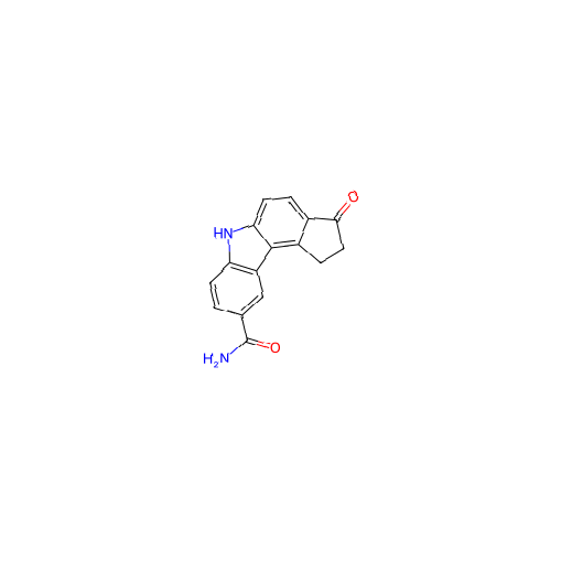 NC(=O)c1ccc2[nH]c3ccc4c(c3c2c1)CCC4=O